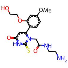 COc1ccc(-c2cc(=O)[nH]c(=S)n2CC(=O)NCCN)c(OCCO)c1